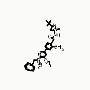 Bc1cc(-c2cnc(B(Cc3ccccc3)OC)c(OCC)c2)ccc1CC(=O)Nc1cc(C(C)(C)C)nn1C